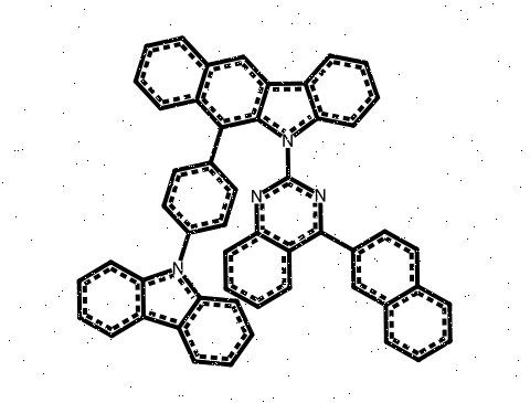 c1ccc2cc(-c3nc(-n4c5ccccc5c5cc6ccccc6c(-c6ccc(-n7c8ccccc8c8ccccc87)cc6)c54)nc4ccccc34)ccc2c1